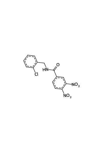 O=C(NCc1ccccc1Cl)c1ccc([N+](=O)[O-])c([N+](=O)[O-])c1